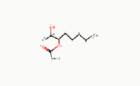 CCCCCCCCCCCCCCC(OC(=O)CCCCCCC)C(O)CC